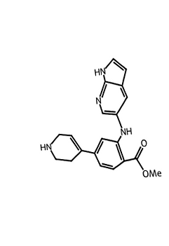 COC(=O)c1ccc(C2=CCNCC2)cc1Nc1cnc2[nH]ccc2c1